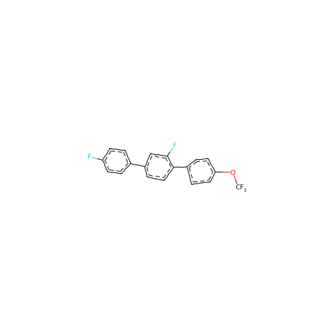 Fc1ccc(-c2ccc(-c3ccc(OC(F)(F)F)cc3)c(F)c2)cc1